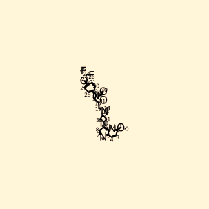 COc1ccc2nccc(N3CC(N(C)CC4CN(c5ccc(OC(F)F)cc5)C(=O)O4)C3)c2n1